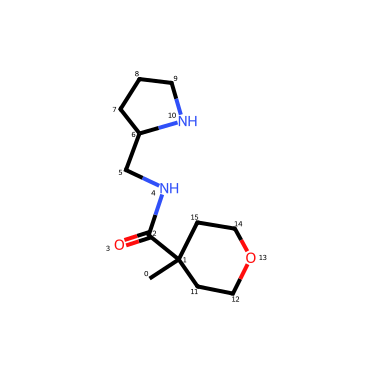 CC1(C(=O)NCC2CCCN2)CCOCC1